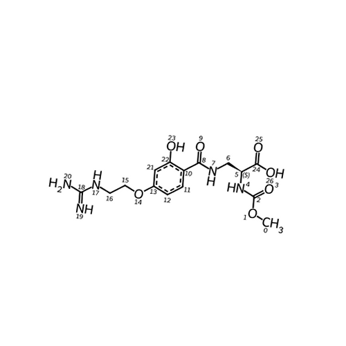 COC(=O)N[C@@H](CNC(=O)c1ccc(OCCNC(=N)N)cc1O)C(=O)O